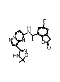 C[C@@H](Nc1ccn2ncc(C3=NOC(C)(C)N3)c2n1)c1cc(F)cc2c1OC(=O)C2